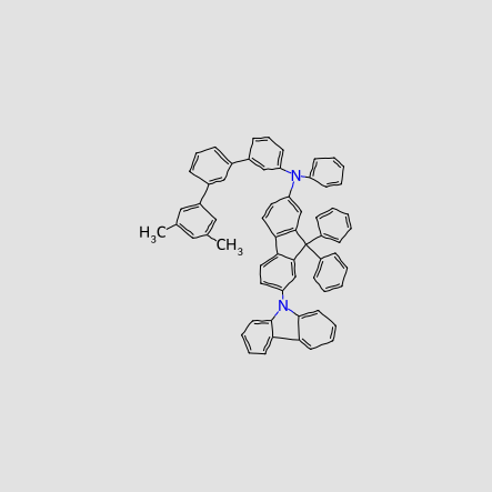 Cc1cc(C)cc(-c2cccc(-c3cccc(N(c4ccccc4)c4ccc5c(c4)C(c4ccccc4)(c4ccccc4)c4cc(-n6c7ccccc7c7ccccc76)ccc4-5)c3)c2)c1